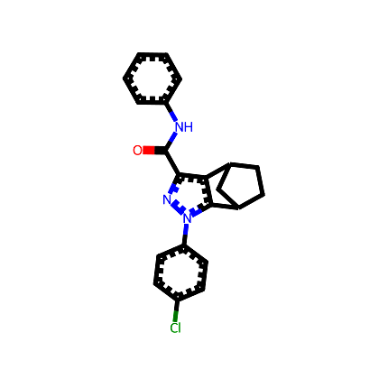 O=C(Nc1ccccc1)c1nn(-c2ccc(Cl)cc2)c2c1C1CCC2C1